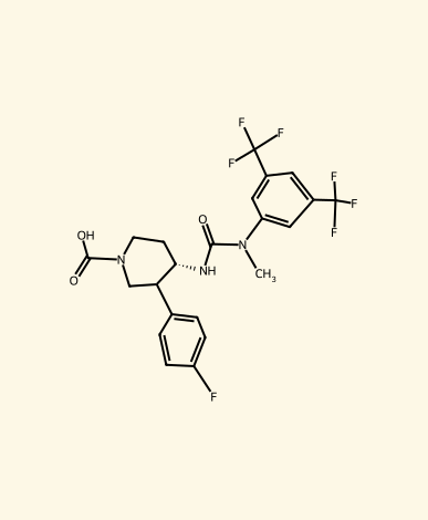 CN(C(=O)N[C@H]1CCN(C(=O)O)CC1c1ccc(F)cc1)c1cc(C(F)(F)F)cc(C(F)(F)F)c1